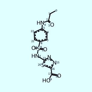 CCC(=O)Nc1ccc(S(=O)(=O)Nc2nnc(C(=O)O)s2)cc1